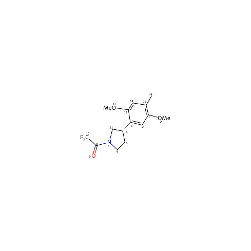 COc1cc([C@@H]2CCN(C(=O)C(F)(F)F)C2)c(OC)cc1C